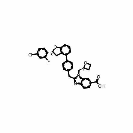 O=C(O)c1ccc2nc(Cc3ccc(-c4cccc5c4C[C@H](c4ccc(Cl)cc4F)O5)cc3)n(C[C@@H]3CCO3)c2c1